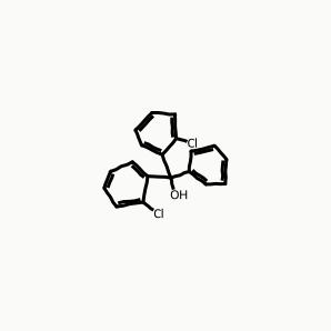 OC(c1ccccc1)(c1ccccc1Cl)c1ccccc1Cl